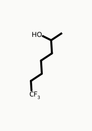 CC(O)CCCCC(F)(F)F